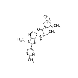 CC[C@@H](Nc1ccnc2c1nc(-c1cnc(C)nc1)n2CC)C(=O)N1C[C@@H](C)O[C@@H](C)C1